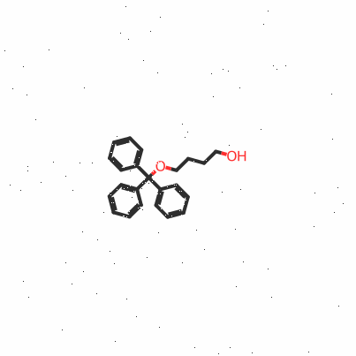 OCCCCOC(c1ccccc1)(c1ccccc1)c1ccccc1